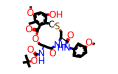 COc1cccc(NC(=O)[C@@H]2CSCc3c(O)cc(OC)c(C)c3C(=O)OC[C@H](NC(=O)OC(C)(C)C)C(=O)N2)c1